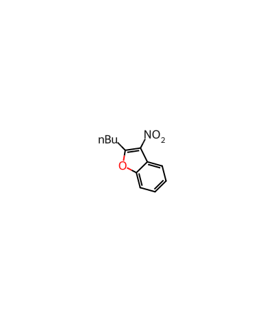 CCCCc1oc2ccccc2c1[N+](=O)[O-]